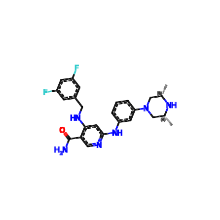 C[C@@H]1CN(c2cccc(Nc3cc(NCc4cc(F)cc(F)c4)c(C(N)=O)cn3)c2)C[C@H](C)N1